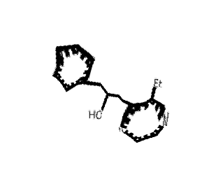 CCc1nccnc1CC(O)c1ccccc1